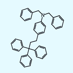 c1ccc(CN(Cc2ccccc2)c2ccc(CCC(c3ccccc3)(c3ccccc3)c3ccccc3)cc2)cc1